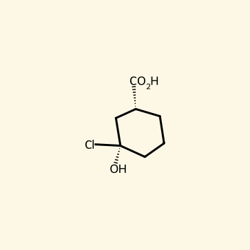 O=C(O)[C@@H]1CCC[C@@](O)(Cl)C1